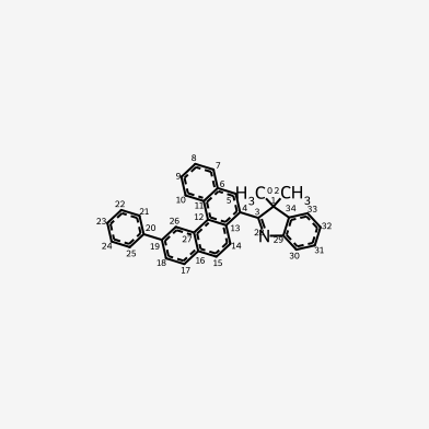 CC1(C)C(c2cc3ccccc3c3c2ccc2ccc(-c4ccccc4)cc23)=Nc2ccccc21